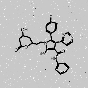 CC(C)c1c(C(=O)Nc2ccccc2)c(-c2ccncn2)c(-c2ccc(F)cc2)n1CCC1CC(O)CC(=O)O1